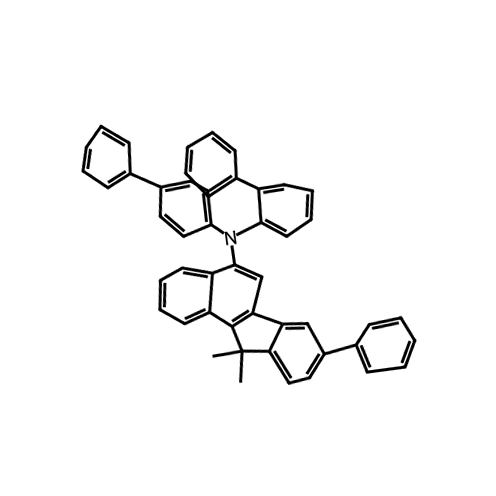 CC1(C)c2ccc(-c3ccccc3)cc2-c2cc(N(c3ccc(-c4ccccc4)cc3)c3ccccc3-c3ccccc3)c3ccccc3c21